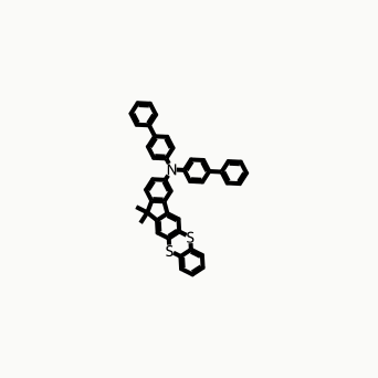 CC1(C)c2ccc(N(c3ccc(-c4ccccc4)cc3)c3ccc(-c4ccccc4)cc3)cc2-c2cc3c(cc21)Sc1ccccc1S3